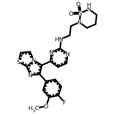 COc1cc(-c2nc3sccn3c2-c2ccnc(NCCN3CCCNS3(=O)=O)n2)ccc1F